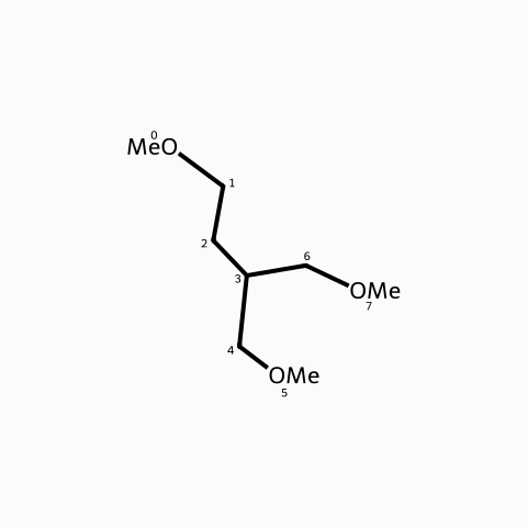 COCCC(COC)COC